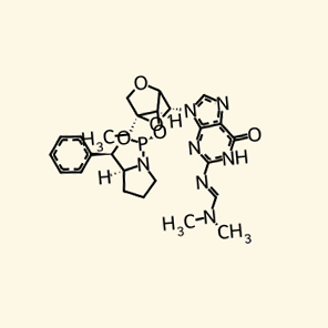 CC[C@@]12COC([C@H](n3cnc4c(=O)[nH]c(/N=C/N(C)C)nc43)O1)[C@H]2O[P@@]1O[C@H](c2ccccc2)[C@@H]2CCCN21